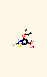 CC[C@H](CC=O)Oc1cc(C(=O)OC)cc2sc(Br)nc12